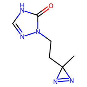 CC1(CCn2nc[nH]c2=O)N=N1